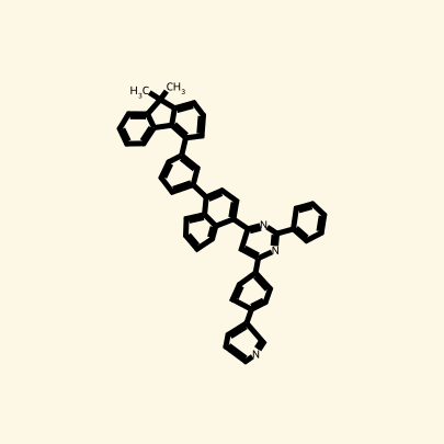 CC1(C)c2ccccc2-c2c(-c3cccc(-c4ccc(-c5cc(-c6ccc(-c7cccnc7)cc6)nc(-c6ccccc6)n5)c5ccccc45)c3)cccc21